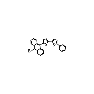 Brc1c2ccccc2c(-c2ccc(-c3ccc(-c4ccccc4)s3)s2)c2ccccc12